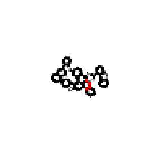 c1ccc(-c2nc(-c3ccc(-n4c5ccccc5c5cc6ccccc6cc54)cc3-c3c4ccccc4cc4oc5ccccc5c34)nc(-c3cccc4sc5ccccc5c34)n2)cc1